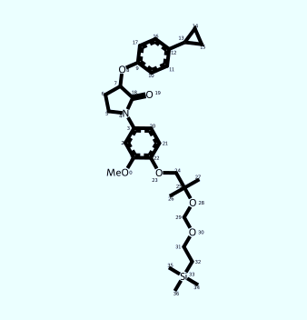 COc1cc(N2CCC(Oc3ccc(C4CC4)cc3)C2=O)ccc1OCC(C)(C)OCOCC[Si](C)(C)C